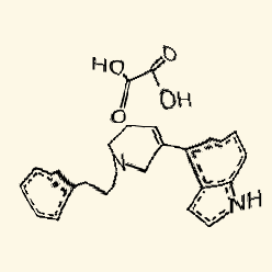 C1=C(c2cccc3[nH]ccc23)CN(Cc2ccccc2)CC1.O=C(O)C(=O)O